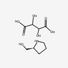 O=C(O)C(O)C(O)C(=O)O.OC[C@@H]1CCCN1